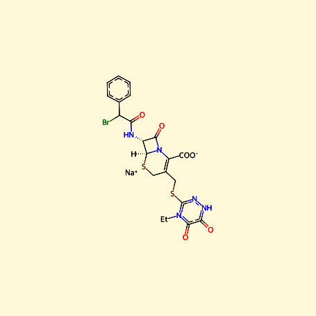 CCn1c(SCC2=C(C(=O)[O-])N3C(=O)[C@@H](NC(=O)C(Br)c4ccccc4)[C@@H]3SC2)n[nH]c(=O)c1=O.[Na+]